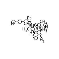 CCC(CC(C)c1ccc(-c2cccnc2)cc1)c1ccc(-c2c(C)cc(C)c(B(c3c(C)cc(C)c(-c4cccnc4)c3C)c3c(C)cc(C)c(-c4cccnc4)c3C)c2C)cc1